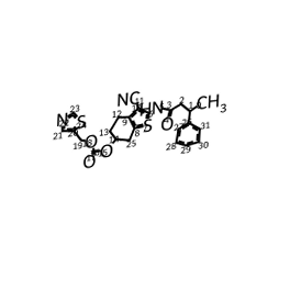 CC(CC(=O)Nc1sc2c(c1C#N)CCC(OC(=O)OCc1cncs1)C2)c1ccccc1